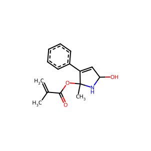 C=C(C)C(=O)OC1(C)NC(O)C=C1c1ccccc1